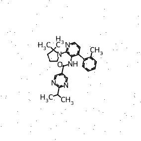 Cc1ccccc1-c1ccnc(N2CCCC2(C)C)c1NC(=O)c1cnc(C(C)C)nc1